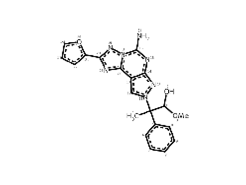 COC(O)C(C)(c1ccccc1)n1cc2c(nc(N)n3nc(-c4ccco4)nc23)n1